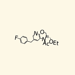 CCOC[C@H]1COc2ncc(Cc3ccc(F)cc3)cc2N1C(C)=O